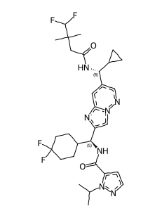 CC(C)n1nccc1C(=O)N[C@H](c1cn2ncc([C@H](NC(=O)CC(C)(C)C(F)F)C3CC3)cc2n1)C1CCC(F)(F)CC1